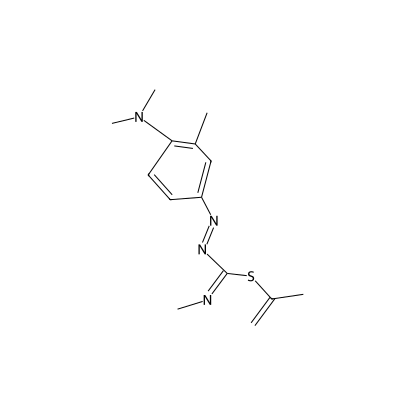 C=C(C)S/C(N=Nc1ccc(N(C)C)c(C)c1)=N/C